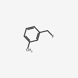 Cc1cc[c]c(CF)c1